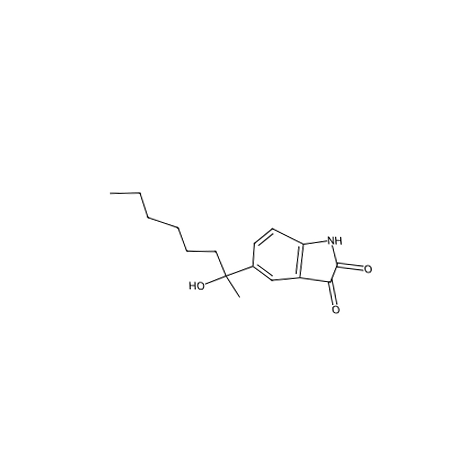 CCCCCCC(C)(O)c1ccc2c(c1)C(=O)C(=O)N2